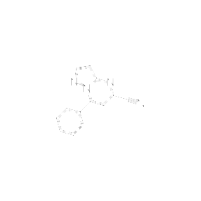 N#Cc1cc(-c2ccccc2)n2nccc2n1